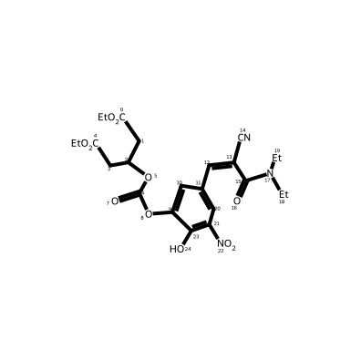 CCOC(=O)CC(CC(=O)OCC)OC(=O)Oc1cc(C=C(C#N)C(=O)N(CC)CC)cc([N+](=O)[O-])c1O